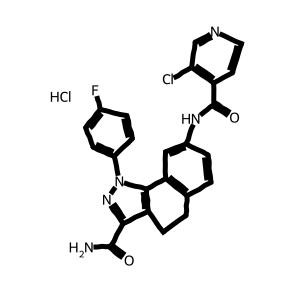 Cl.NC(=O)c1nn(-c2ccc(F)cc2)c2c1CCc1ccc(NC(=O)c3ccncc3Cl)cc1-2